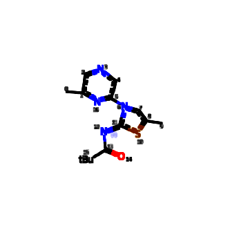 Cc1cncc(-n2cc(C)s/c2=N\C(=O)C(C)(C)C)n1